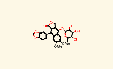 COc1cc2c(OC3OC(C)C(O)C(O)C3O)c3c(c(-c4ccc5c(c4)OCO5)c2cc1OC)C(=O)OC3